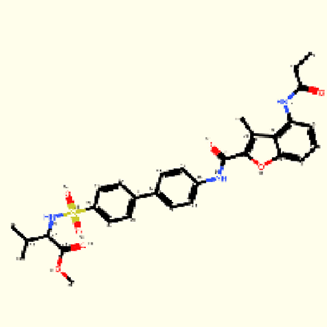 CCC(=O)Nc1cccc2oc(C(=O)Nc3ccc(-c4ccc(S(=O)(=O)NC(C(=O)OC)C(C)C)cc4)cc3)c(C)c12